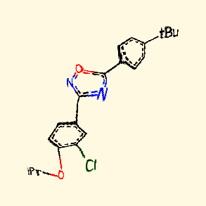 CC(C)Oc1ccc(-c2noc(-c3ccc(C(C)(C)C)cc3)n2)cc1Cl